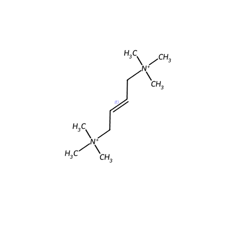 C[N+](C)(C)C/C=C/C[N+](C)(C)C